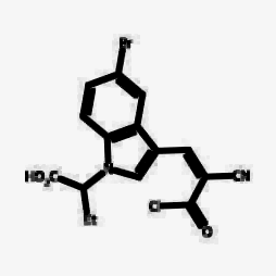 CCC(C(=O)O)n1cc(C=C(C#N)C(=O)Cl)c2cc(Br)ccc21